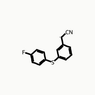 N#C[CH]c1cccc(Sc2ccc(F)cc2)c1